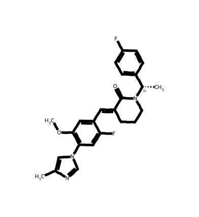 COc1cc(C=C2CCCN([C@@H](C)c3ccc(F)cc3)C2=O)c(F)cc1-n1cnc(C)c1